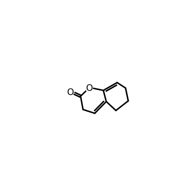 O=C1CC=C2CCCC=C2O1